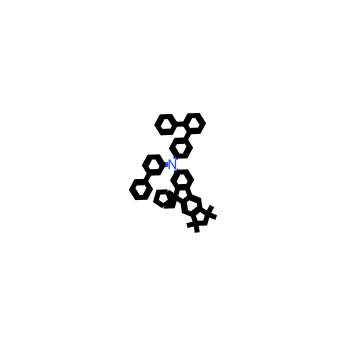 CC1(C)CC(C)(C)c2cc3c(cc21)-c1ccc(N(c2ccc(-c4ccccc4-c4ccccc4)cc2)c2cccc(-c4ccccc4)c2)cc1C31CC2CCC1C2